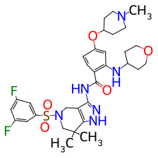 CN1CCC(Oc2ccc(C(=O)Nc3n[nH]c4c3CN(S(=O)(=O)c3cc(F)cc(F)c3)CC4(C)C)c(NC3CCOCC3)c2)CC1